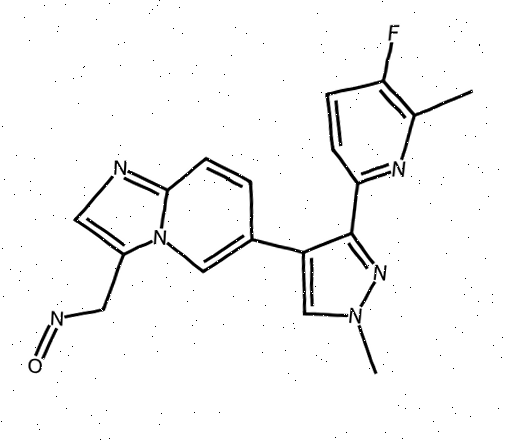 Cc1nc(-c2nn(C)cc2-c2ccc3ncc(CN=O)n3c2)ccc1F